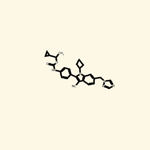 CC(OC(=O)Nc1ccc(-c2c(C#N)c3ccc(Cn4cncn4)cc3n2C2CCC2)cc1)C1CC1